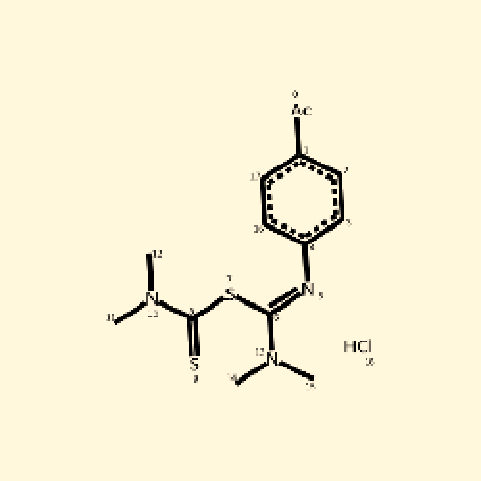 CC(=O)c1ccc(N=C(SC(=S)N(C)C)N(C)C)cc1.Cl